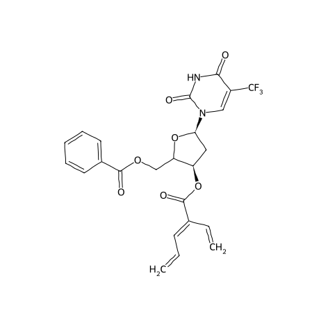 C=C/C=C(\C=C)C(=O)O[C@@H]1C[C@H](n2cc(C(F)(F)F)c(=O)[nH]c2=O)OC1COC(=O)c1ccccc1